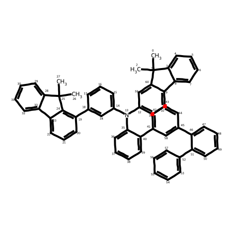 CC1(C)c2ccccc2-c2ccc(N(c3cccc(-c4cccc5c4C(C)(C)c4ccccc4-5)c3)c3ccccc3-c3cccc(-c4ccccc4-c4ccccc4)c3)cc21